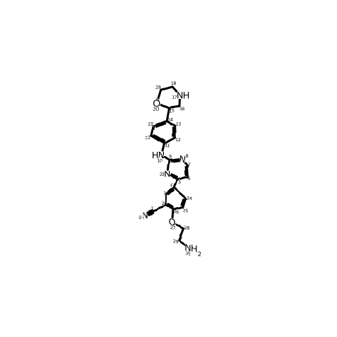 N#Cc1cc(-c2ccnc(Nc3ccc(C4CNCCO4)cc3)n2)ccc1OCCN